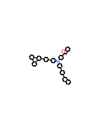 c1ccc2cc(-c3ccc(-c4ccc(N(c5ccc(-c6ccc(-c7ccc8c9ccccc9c9ccccc9c8c7)cc6)cc5)c5ccc(-c6cc7ccccc7o6)cc5)cc4)cc3)ccc2c1